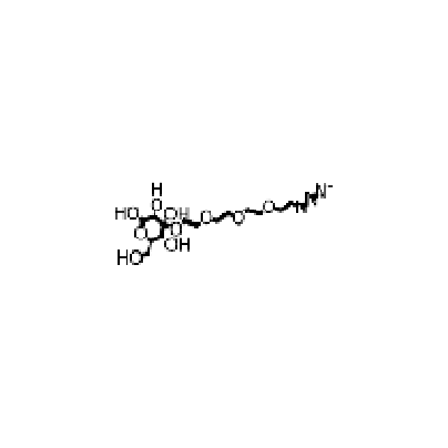 [N-]=[N+]=NCCOCCOCCOCCO[C@]1(O)[C@H](O)[C@@H](CO)OC(O)[C@@H]1O